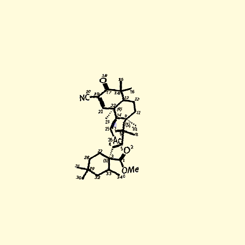 COC(=O)[C@]1(CCC(C)(C)[C@]2(C)CCC3C(C)(C)C(=O)C(C#N)=C[C@]3(C)/C2=C/C(C)=O)CCC(C)(C)CC1C